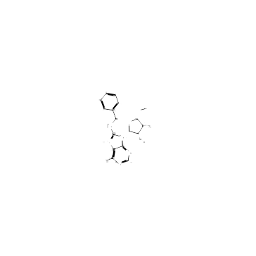 OC[C@H]1O[C@@H](n2c(NCc3ccccc3)nc3c(O)ncnc32)[C@H](O)[C@@H]1O